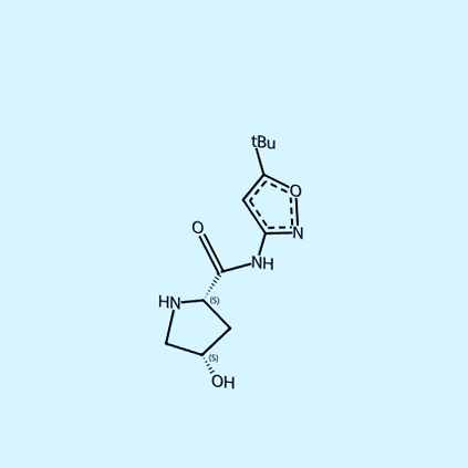 CC(C)(C)c1cc(NC(=O)[C@@H]2C[C@H](O)CN2)no1